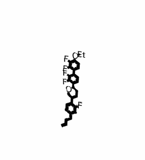 C=CCCc1ccc(C2CCC(c3ccc(-c4ccc(OCC)c(F)c4F)c(F)c3F)OC2)c(F)c1